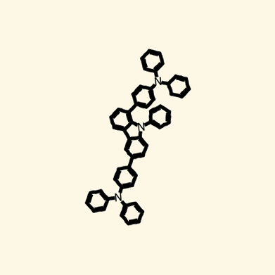 C1=CCC(N(c2ccccc2)c2ccc(-c3cccc4c5cc(-c6ccc(N(c7ccccc7)c7ccccc7)cc6)ccc5n(-c5ccccc5)c34)cc2)C=C1